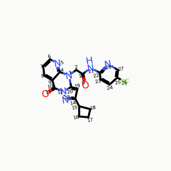 O=C(Cn1c2ncccc2c(=O)n2nc(C3CCC3)cc12)Nc1ccc(F)cn1